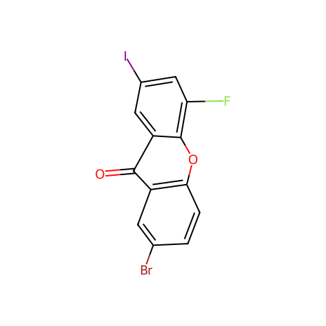 O=c1c2cc(Br)ccc2oc2c(F)cc(I)cc12